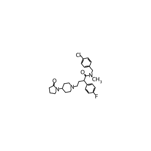 CN(Cc1ccc(Cl)cc1)C(=O)C(CCN1CCC(N2CCCC2=O)CC1)c1ccc(F)cc1